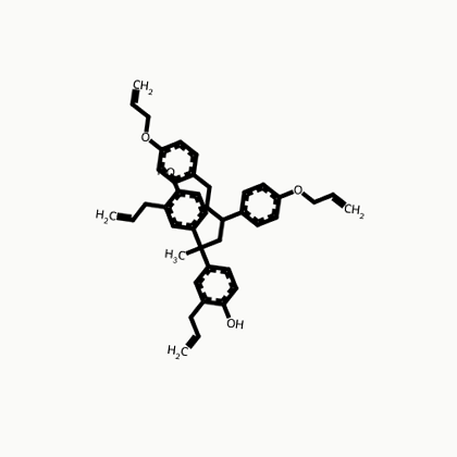 C=CCOc1ccc(CCC(CC(C)(c2ccc(O)c(CC=C)c2)c2ccc(O)c(CC=C)c2)c2ccc(OCC=C)cc2)cc1